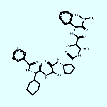 CCC[C@H](NC(=O)[C@@H]1CCC[C@@H]1NC(=O)C(NC(=O)[C@@H](NC(=O)c1cnccn1)C1CCCCC1)C(C)(C)C)C(O)C(=O)N[C@@H](C(=O)N(C)C)c1ccccc1